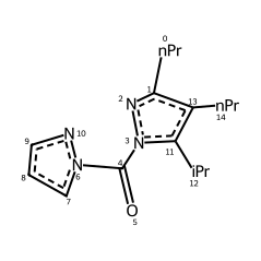 CCCc1nn(C(=O)n2cccn2)c(C(C)C)c1CCC